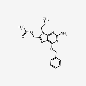 CCCn1c(COC(C)=O)nc2c(OCc3ccccc3)nc(N)nc21